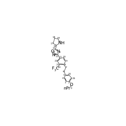 CCCOc1ccc(CCc2ccc(-c3noc(C4CCCN4)n3)cc2C(F)(F)F)cc1